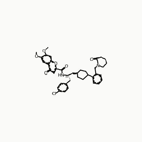 COc1cc2oc(C(=O)N[C@H](C=C3CCC(c4ccccc4CN4CCCCC4=O)CC3)Cc3ccc(Cl)cc3)cc(=O)c2cc1OC